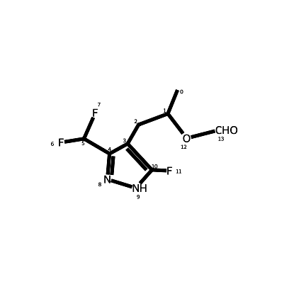 CC(Cc1c(C(F)F)n[nH]c1F)OC=O